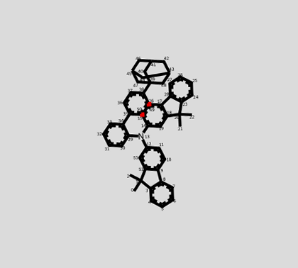 CC1(C)c2ccccc2-c2ccc(N(c3ccc4c(c3)C(C)(C)c3ccccc3-4)c3ccccc3-c3ccc(C45CC6CC(CC(C6)C4)C5)cc3)cc21